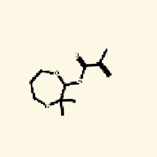 C=C(C)C(=O)OC1OCCCOC1(C)C